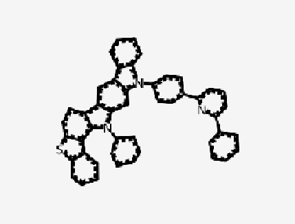 c1ccc(-c2cccc(-c3ccc(-n4c5ccccc5c5cc6c7ccc8sc9ccccc9c8c7n(-c7ccccc7)c6cc54)cc3)n2)cc1